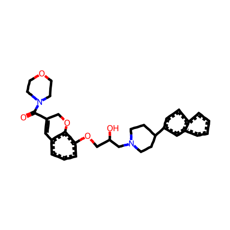 O=C(C1=Cc2cccc(OCC(O)CN3CCC(c4ccc5ccccc5c4)CC3)c2OC1)N1CCOCC1